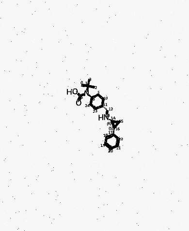 CC(C)(C)N(C(=O)O)[C@H]1CC[C@H](CN[C@@H]2C[C@H]2c2ccccc2)CC1